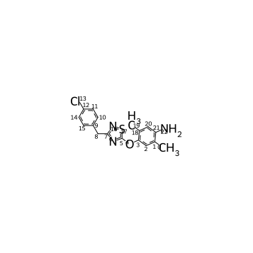 Cc1cc(Oc2nc(Cc3ccc(Cl)cc3)ns2)c(C)cc1N